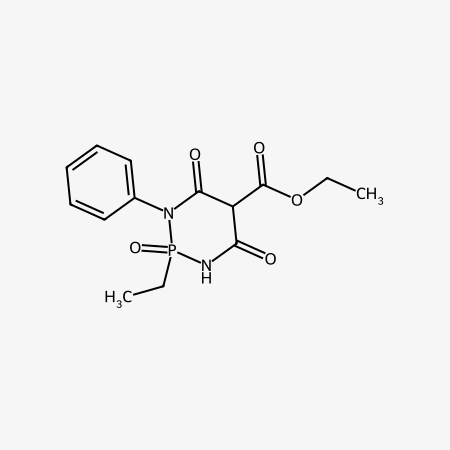 CCOC(=O)C1C(=O)NP(=O)(CC)N(c2ccccc2)C1=O